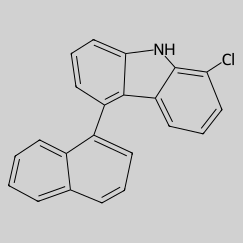 Clc1cccc2c1[nH]c1cccc(-c3cccc4ccccc34)c12